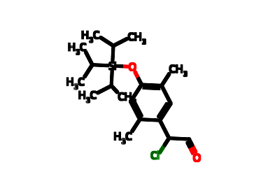 Cc1cc(C(Cl)C=O)c(C)cc1O[Si](C(C)C)(C(C)C)C(C)C